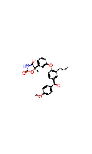 CCCc1cc(C(=O)c2ccc(OC)cc2)ccc1Oc1cccc([C@]2(C)OC(=O)NC2=O)c1